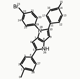 Cc1ccc(-c2cc3c(cc(-c4ccc(C)cc4)n3-c3ccc(Br)cc3)[nH]2)cc1